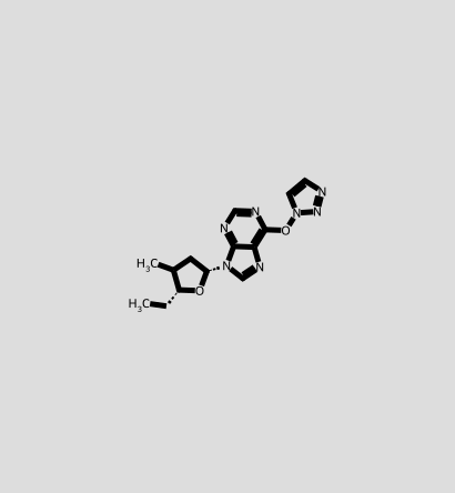 CC[C@H]1O[C@@H](n2cnc3c(On4ccnn4)ncnc32)CC1C